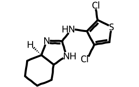 Clc1csc(Cl)c1NC1=N[C@@H]2CCCCC2N1